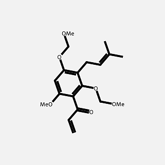 C=CC(=O)c1c(OC)cc(OCOC)c(CC=C(C)C)c1OCOC